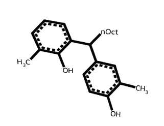 CCCCCCCCC(c1ccc(O)c(C)c1)c1cccc(C)c1O